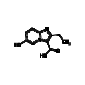 CCc1nc2ccc(O)cn2c1C(=O)O